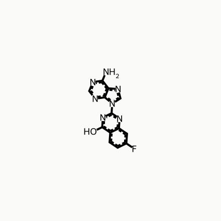 Nc1ncnc2c1ncn2-c1nc(O)c2ccc(F)cc2n1